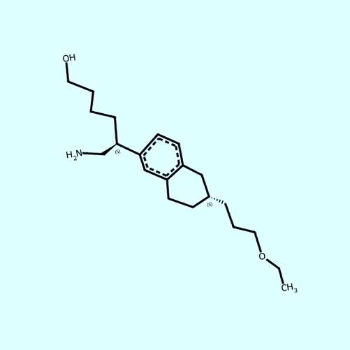 CCOCCC[C@@H]1CCc2cc([C@@H](CN)CCCCO)ccc2C1